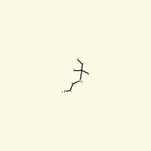 [CH2]CC(C)(C)OCCF